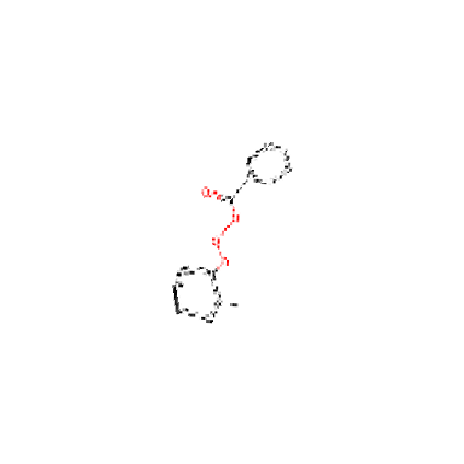 Cc1ccccc1OOOC(=O)c1ccccc1